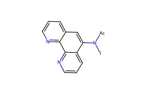 CC(=O)N(I)c1cc2cccnc2c2ncccc12